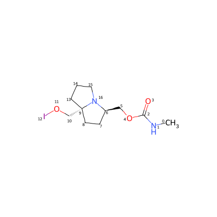 CNC(=O)OC[C@H]1CC[C@@]2(COI)CCCN12